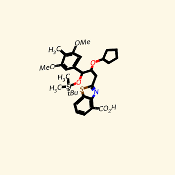 COc1cc(C(O[Si](C)(C)C(C)(C)C)C(Cc2nc3c(C(=O)O)cccc3s2)OC2CCCC2)cc(OC)c1C